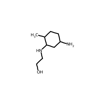 CC1CCC(N)CC1NCCO